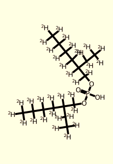 [2H]C([2H])([2H])C([2H])([2H])C([2H])([2H])C([2H])([2H])C([2H])(C([2H])([2H])OP(=O)(O)OC([2H])([2H])C([2H])(C([2H])([2H])C([2H])([2H])[2H])C([2H])([2H])C([2H])([2H])C([2H])([2H])C([2H])([2H])[2H])C([2H])([2H])C([2H])([2H])[2H]